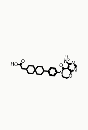 Nc1ncnc2c1C(=O)N(c1ccc(C3CCC4(CCC(CC(=O)O)CC4)CC3)cc1)CCO2